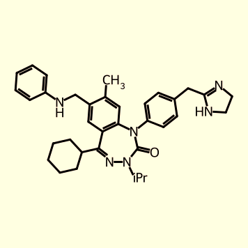 Cc1cc2c(cc1CNc1ccccc1)C(C1CCCCC1)=NN(C(C)C)C(=O)N2c1ccc(CC2=NCCN2)cc1